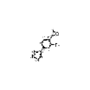 Fc1cc(-n2cnnn2)ccc1C1CO1